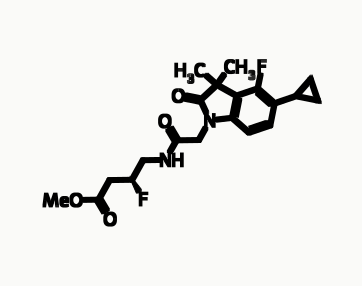 COC(=O)C[C@H](F)CNC(=O)CN1C(=O)C(C)(C)c2c1ccc(C1CC1)c2F